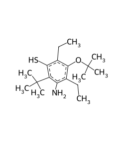 CCc1c(N)c(C(C)(C)C)c(S)c(CC)c1OC(C)(C)C